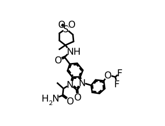 CC(C(N)=O)n1c(=O)n(-c2cccc(OC(F)F)c2)c2ccc(C(=O)NC3(C)CCS(=O)(=O)CC3)cc21